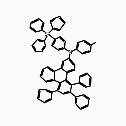 Cc1ccc(N(c2ccc([Si](c3ccccc3)(c3ccccc3)c3ccccc3)cc2)c2ccc3c(c2)c2ccccc2c2c(-c4ccccc4)cc(-c4ccccc4)c(-c4ccccc4)c32)cc1